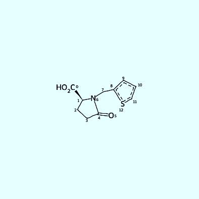 O=C(O)[C@@H]1CCC(=O)N1Cc1cccs1